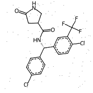 O=C1CC(C(=O)N[C@@H](c2ccc(Cl)cc2)c2ccc(Cl)c(C(F)(F)F)c2)CN1